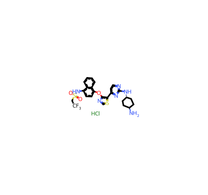 Cl.N[C@H]1CC[C@H](Nc2nccc(-c3scnc3Oc3ccc(NS(=O)(=O)CC(F)(F)F)c4ccccc34)n2)CC1